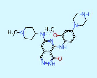 COc1cc(N2CCNCC2)ccc1Nc1nc(NC2CCN(C)CC2)cc2cn[nH]c(=O)c12